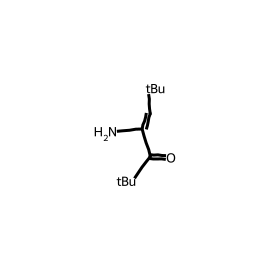 CC(C)(C)C=C(N)C(=O)C(C)(C)C